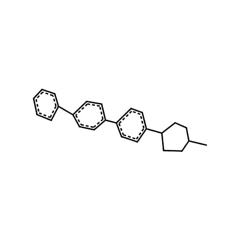 CC1CCC(c2ccc(-c3ccc(-c4ccccc4)cc3)cc2)CC1